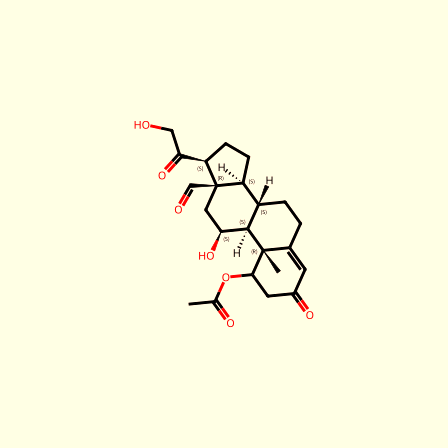 CC(=O)OC1CC(=O)C=C2CC[C@@H]3[C@H]([C@@H](O)C[C@]4(C=O)[C@@H](C(=O)CO)CC[C@@H]34)[C@]21C